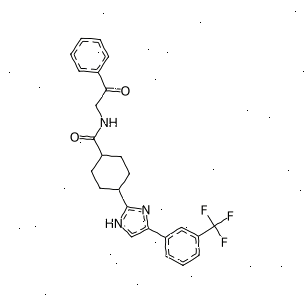 O=C(CNC(=O)C1CCC(c2nc(-c3cccc(C(F)(F)F)c3)c[nH]2)CC1)c1ccccc1